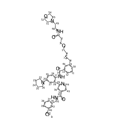 O=C(CCOCCSCc1cccc(C(=O)Nc2ccc(N3CCCCC3)cc2-c2cc(C(=O)NCc3cccc(C(F)(F)F)c3)ccn2)c1)NCCN1CCOCC1